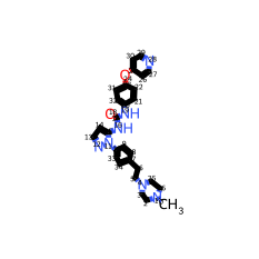 CN1CCN(CCc2ccc(-n3nccc3NC(=O)Nc3ccc(Oc4ccncc4)cc3)cc2)CC1